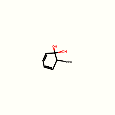 CCCCC1C=CC=CC1(O)O